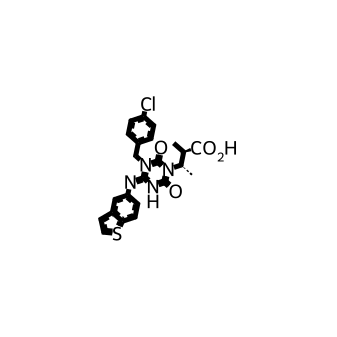 C[C@@H](C(=O)O)[C@H](C)n1c(=O)[nH]/c(=N\c2ccc3sccc3c2)n(Cc2ccc(Cl)cc2)c1=O